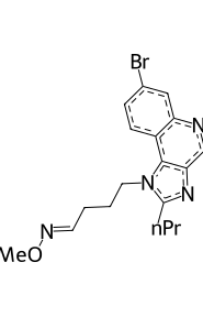 CCCc1nc2cnc3cc(Br)ccc3c2n1CCCC=NOC